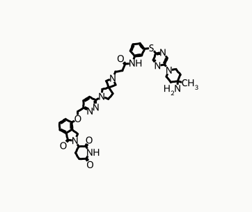 CC1(N)CCN(c2cnc(Sc3cccc(NC(=O)CCN4CC5(CCN(c6ccc(COc7cccc8c7CN(C7CCC(=O)NC7=O)C8=O)nn6)C5)C4)c3)cn2)CC1